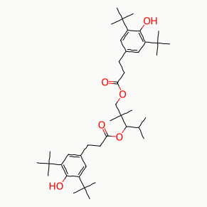 CC(C)C(OC(=O)CCc1cc(C(C)(C)C)c(O)c(C(C)(C)C)c1)C(C)(C)COC(=O)CCc1cc(C(C)(C)C)c(O)c(C(C)(C)C)c1